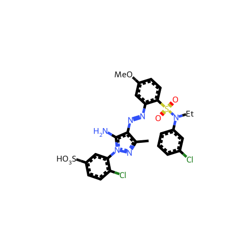 CCN(c1cccc(Cl)c1)S(=O)(=O)c1ccc(OC)cc1/N=N/c1c(C)nn(-c2cc(S(=O)(=O)O)ccc2Cl)c1N